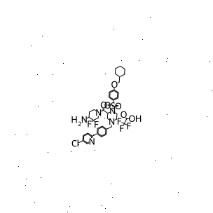 NC1CCN(C(=O)C2CN(Cc3ccc(-c4ccc(Cl)cn4)cc3)CCN2S(=O)(=O)c2ccc(OCC3CCCCC3)cc2)CC1(F)F.O=C(O)C(F)(F)F